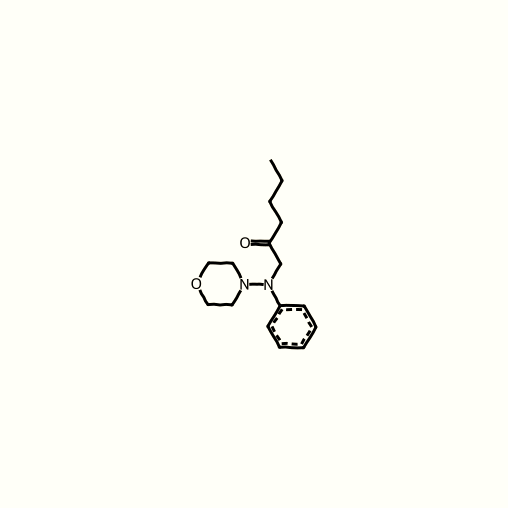 CCCCC(=O)CN(c1ccccc1)N1CCOCC1